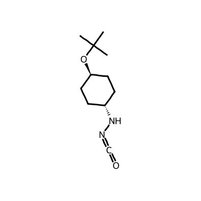 CC(C)(C)O[C@H]1CC[C@H](NN=C=O)CC1